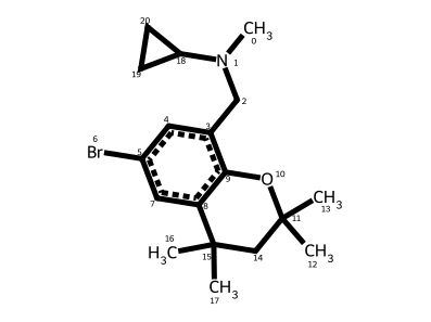 CN(Cc1cc(Br)cc2c1OC(C)(C)CC2(C)C)C1CC1